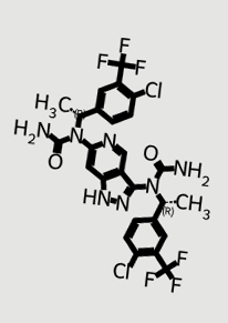 C[C@H](c1ccc(Cl)c(C(F)(F)F)c1)N(C(N)=O)c1cc2[nH]nc(N(C(N)=O)[C@H](C)c3ccc(Cl)c(C(F)(F)F)c3)c2cn1